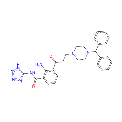 Nc1c(C(=O)CCN2CCN(C(c3ccccc3)c3ccccc3)CC2)cccc1C(=O)Nc1nnn[nH]1